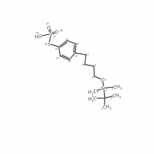 CC(C)(C)[Si](C)(C)OCCCCc1ccc(SS(=O)(=O)O)cc1